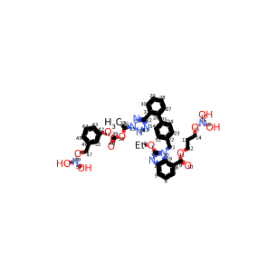 CCOc1nc2cccc(C(=O)OCCCON(O)O)c2n1Cc1ccc(-c2ccccc2-c2nnn(C(C)OC(=O)Oc3cccc(CON(O)O)c3)n2)cc1